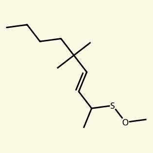 CCCCC(C)(C)/C=C/C(C)SOC